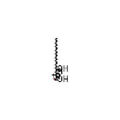 CCCCCCCCCCCCCCCCCCC(Cc1ccc(O)c(C(C)(C)C)c1C(C)(C)C)C(=O)O